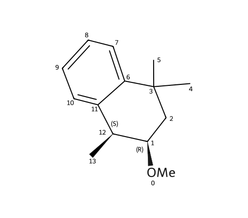 CO[C@@H]1CC(C)(C)c2ccccc2[C@@H]1C